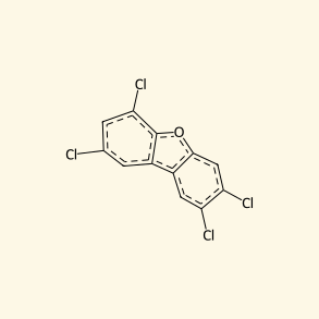 Clc1cc(Cl)c2oc3cc(Cl)c(Cl)cc3c2c1